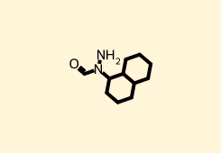 NN(C=O)C1CCCC2CCCCC21